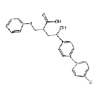 O=C(O)C(CSc1ccccc1)CC(O)c1ccc(-c2ccc(Cl)cc2)cc1